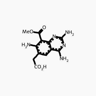 COC(=O)c1c(N)c(CC(=O)O)cc2c(N)nc(N)nc12